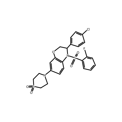 O=S1(=O)CCN(c2ccc3c(c2)OCC(c2ccc(Cl)cc2)N3S(=O)(=O)c2ccccc2F)CC1